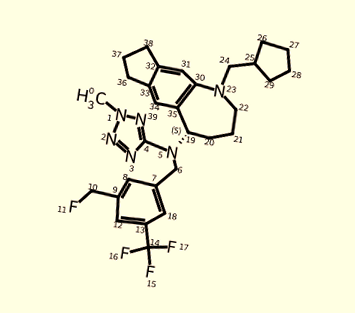 Cn1nnc(N(Cc2cc(CF)cc(C(F)(F)F)c2)[C@H]2CCCN(CC3CCCC3)c3cc4c(cc32)CCC4)n1